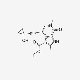 CCOC(=O)c1c(C)[nH]c2c(=O)n(C)cc(C#CC3(O)CC3)c12